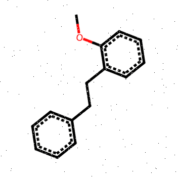 COc1ccc[c]c1CCc1ccccc1